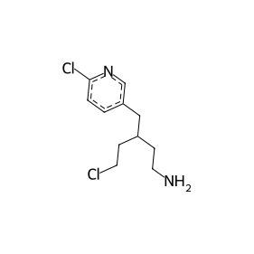 NCCC(CCCl)Cc1ccc(Cl)nc1